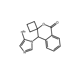 CCCc1cncn1C1c2ccccc2C(=O)OC12CCC2